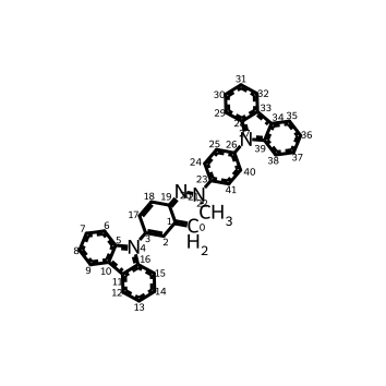 C=C1C=C(n2c3ccccc3c3ccccc32)C=C/C1=N/N(C)c1ccc(-n2c3ccccc3c3ccccc32)cc1